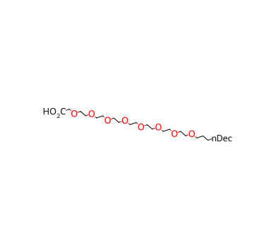 CCCCCCCCCCCCCOCCOCCOCCOCCOCCOCCOCCOCC(=O)O